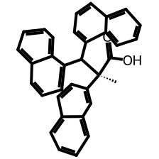 C[C@](C(=O)O)(c1ccc2ccccc2c1)C(c1cccc2ccccc12)c1cccc2ccccc12